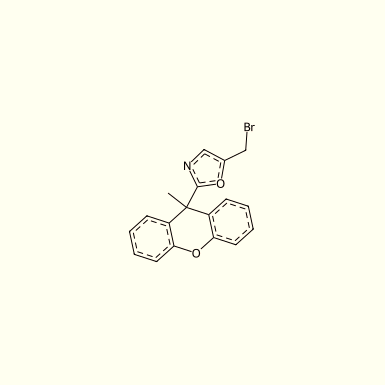 CC1(c2ncc(CBr)o2)c2ccccc2Oc2ccccc21